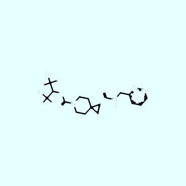 O=C(NCc1cccnn1)[C@@H]1CC12CCN(C(=O)OC(C(F)(F)F)C(F)(F)F)CC2